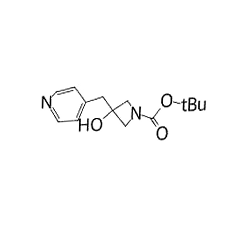 CC(C)(C)OC(=O)N1CC(O)(Cc2ccncc2)C1